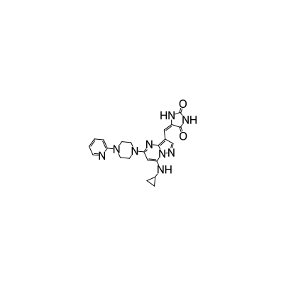 O=C1NC(=O)/C(=C\c2cnn3c(NC4CC4)cc(N4CCN(c5ccccn5)CC4)nc23)N1